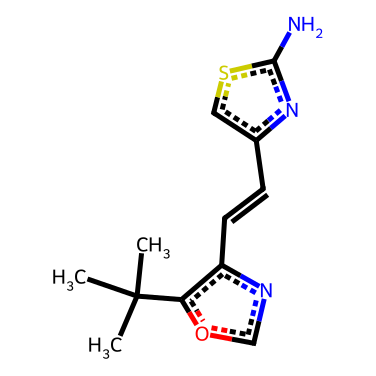 CC(C)(C)c1ocnc1/C=C/c1csc(N)n1